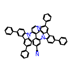 N#Cc1ccc(-c2cnccc2-n2c3ccc(-c4ccccc4)cc3c3cc(-c4ccccc4)ccc32)c(-n2c3ccc(-c4ccccc4)cc3c3cc(-c4ccccc4)ccc32)c1